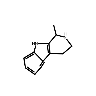 IC1NCCc2c1[nH]c1ccccc21